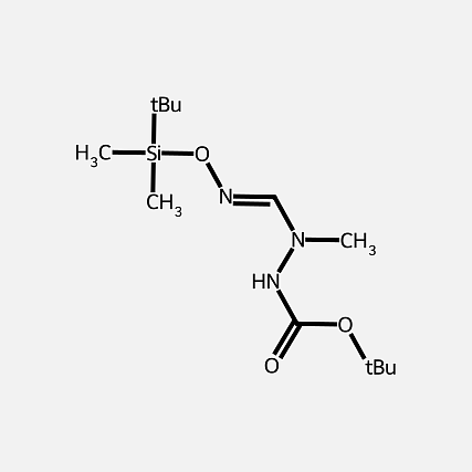 CN(C=NO[Si](C)(C)C(C)(C)C)NC(=O)OC(C)(C)C